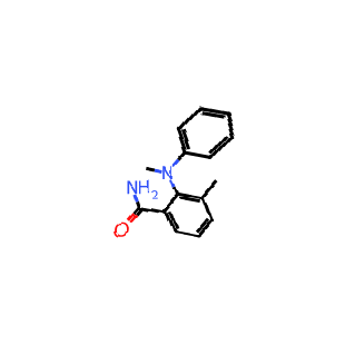 Cc1cccc(C(N)=O)c1N(C)c1ccccc1